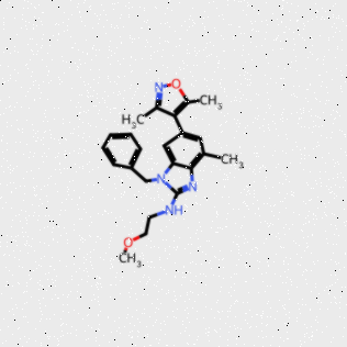 COCCNc1nc2c(C)cc(-c3c(C)noc3C)cc2n1Cc1ccccc1